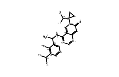 CC(Nc1ncnc2cc(=O)n(C3(C(F)F)CC3)cc12)c1cccc(C(F)F)c1F